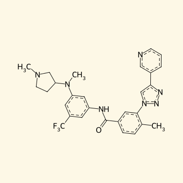 Cc1ccc(C(=O)Nc2cc(N(C)C3CCN(C)C3)cc(C(F)(F)F)c2)cc1-n1cc(-c2cccnc2)nn1